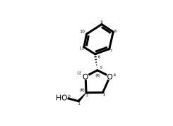 OC[C@@H]1CO[C@@H](c2ccccc2)O1